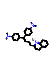 CC[n+]1c(C=CC=C(c2ccc(N(C)C)cc2)c2ccc(N(C)C)cc2)ccc2ccccc21